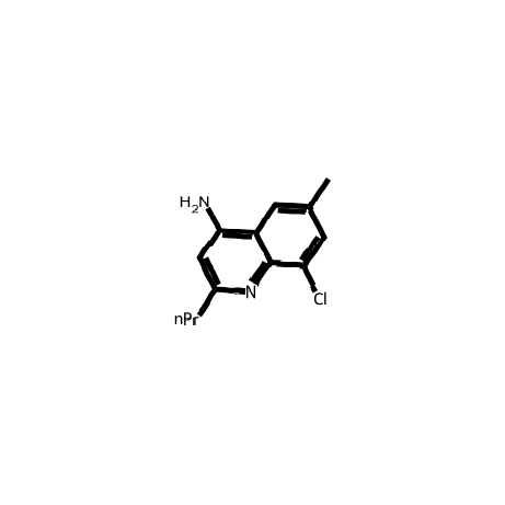 CCCc1cc(N)c2cc(C)cc(Cl)c2n1